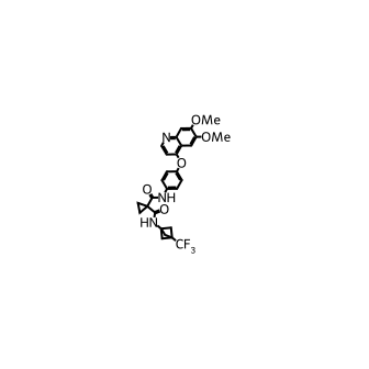 COc1cc2nccc(Oc3ccc(NC(=O)C4(C(=O)NC56CC(C(F)(F)F)(C5)C6)CC4)cc3)c2cc1OC